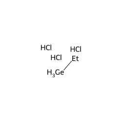 C[CH2][GeH3].Cl.Cl.Cl